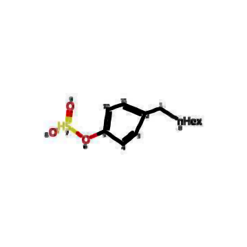 CCCCCCCc1ccc(O[SH](=O)=O)cc1